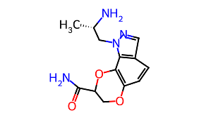 C[C@H](N)Cn1ncc2ccc3c(c21)OC(C(N)=O)CO3